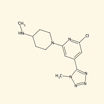 CNC1CCN(c2cc(-c3nnnn3C)cc(Cl)n2)CC1